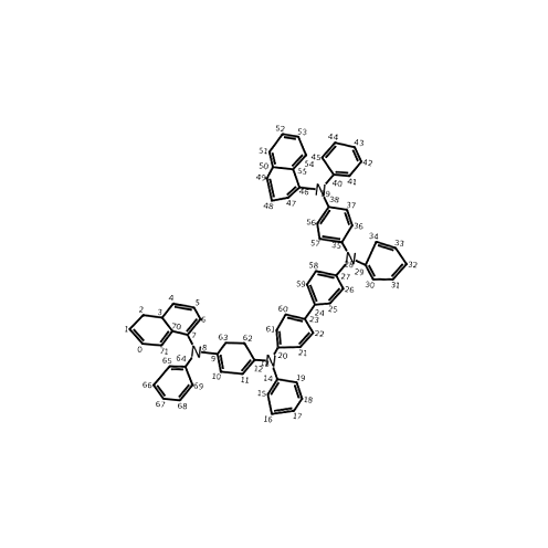 C1=CCC2C=CC=C(N(C3=CC=C(N(c4ccccc4)c4ccc(-c5ccc(N(c6ccccc6)c6ccc(N(c7ccccc7)c7cccc8ccccc78)cc6)cc5)cc4)CC3)c3ccccc3)C2=C1